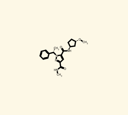 CNC(=O)c1cc(C(=O)N[C@H]2CC[C@H](OC)C2)n([C@@H](C)c2ccccc2)n1